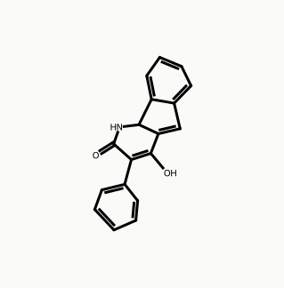 O=C1NC2C(=Cc3ccccc32)C(O)=C1c1ccccc1